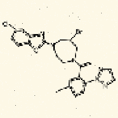 C=C(c1cc(C)ccc1-n1nccn1)N1CCN(c2nc3cc(Cl)ccc3o2)CC(Br)C1